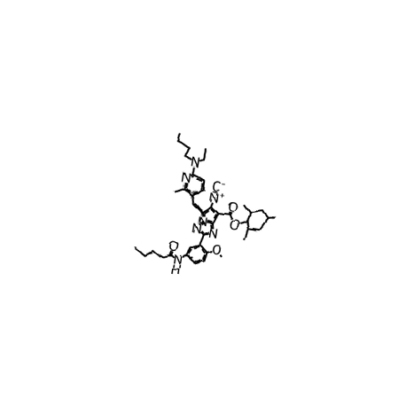 [C-]#[N+]c1c(C(=O)OC2C(C)CC(C)CC2C)c2nc(-c3cc(NC(=O)CCCC)ccc3OC)nn2/c1=C/c1ccc(N(CC)CCCC)nc1C